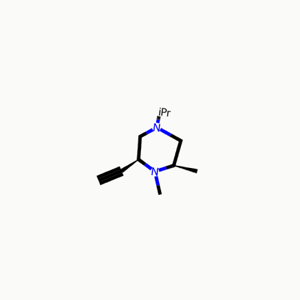 C#C[C@H]1CN(C(C)C)C[C@@H](C)N1C